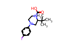 CC(C)(C)C1CN(c2ccc(I)cc2)CCN1C(=O)O